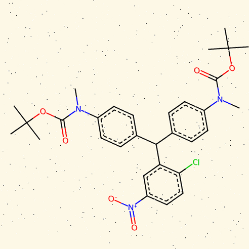 CN(C(=O)OC(C)(C)C)c1ccc(C(c2ccc(N(C)C(=O)OC(C)(C)C)cc2)c2cc([N+](=O)[O-])ccc2Cl)cc1